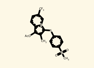 CC(=O)Oc1c(C)c(Sc2ccc(S(C)(=O)=O)cc2)n2cc(C(F)(F)F)ccc12